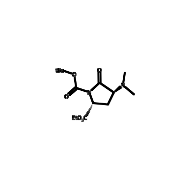 CCOC(=O)[C@H]1C[C@H](N(C)C)C(=O)N1C(=O)OC(C)(C)C